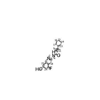 CN(C)[C@H](CNC(=O)[C@@H]1C[C@]1(C)c1ccccc1)Cc1ccc(O)cc1F